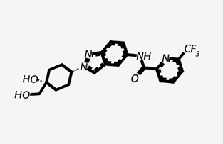 O=C(Nc1ccc2nn([C@H]3CC[C@](O)(CO)CC3)cc2c1)c1cccc(C(F)(F)F)n1